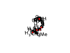 COc1ccc([C@]2(CCN(Cc3ccc(C4=CC[C@H](CN5CCN(C(=O)c6ccc7c8c6NCCn8c(=O)n7[C@H]6CCC(=O)NC6=O)CC5)CC4)cc3)CC(C)(C)C(F)(F)F)CCOC(C)(C)C2)cc1